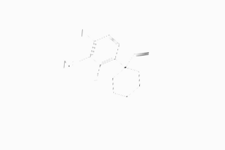 C=CC1(c2ccc(F)c(C#N)c2F)CCCCC1